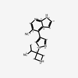 CC(C#N)C1(n2cc(-c3c(C#N)cnc4[nH]ccc34)cn2)CNC1